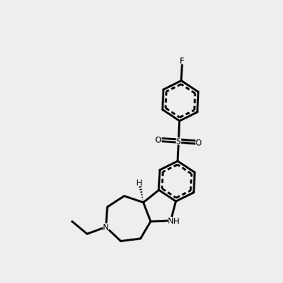 CCN1CCC2Nc3ccc(S(=O)(=O)c4ccc(F)cc4)cc3[C@@H]2CC1